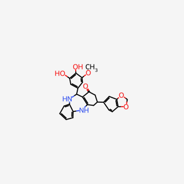 COc1cc(C2Nc3ccccc3NC3=C2C(=O)CC(c2ccc4c(c2)OCO4)C3)cc(O)c1O